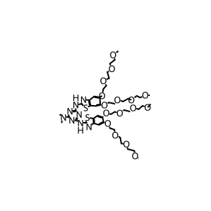 COCCOCCOCCOc1cc2nc(Nc3nc(Nc4nc5cc(OCCOCCOCCOC)c(OCCOCCOCCOC)cc5s4)nc(N(C)C)n3)sc2cc1OCCOCCOCCOC